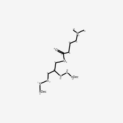 CCCCCCCCCCSSCC(COC(=O)CCCN(C)C)SSCCCCCCCCCC